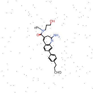 CCCN(CCCO)C(=O)C1=Cc2ccc(-c3ccc(CCC=O)cc3)cc2N=C(N)C1